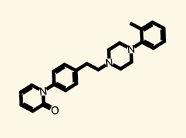 Cc1ccccc1N1CCN(CCc2ccc(-n3ccccc3=O)cc2)CC1